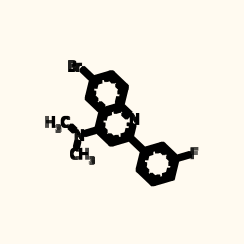 CN(C)c1cc(-c2cccc(F)c2)nc2ccc(Br)cc12